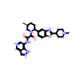 C[C@H]1CCC(c2ccc3sc(C4CCN(C)CC4)nc3c2)N(C(=O)C(=O)Nc2cncc3cn[nH]c23)C1